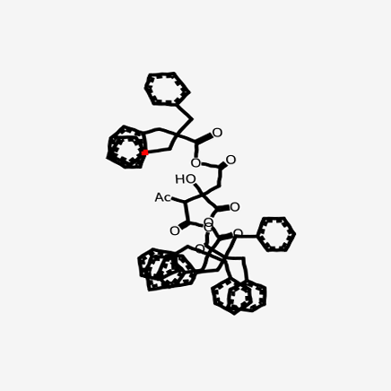 CC(=O)C(C(=O)OC(=O)C(Cc1ccccc1)(Cc1ccccc1)Cc1ccccc1)C(O)(CC(=O)OC(=O)C(Cc1ccccc1)(Cc1ccccc1)Cc1ccccc1)C(=O)OC(=O)C(Cc1ccccc1)(Cc1ccccc1)Cc1ccccc1